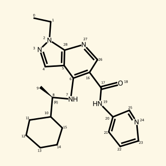 CCn1ncc2c(N[C@H](C)C3CCCCC3)c(C(=O)Nc3cccnc3)cnc21